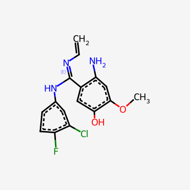 C=C/N=C(/Nc1ccc(F)c(Cl)c1)c1cc(O)c(OC)cc1N